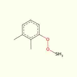 Cc1cccc(OO[SiH3])c1C